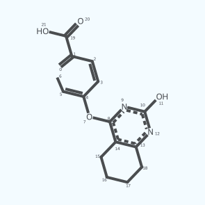 C=C(/C=C\C(=C/C)Oc1nc(O)nc2c1CCCC2)C(=O)O